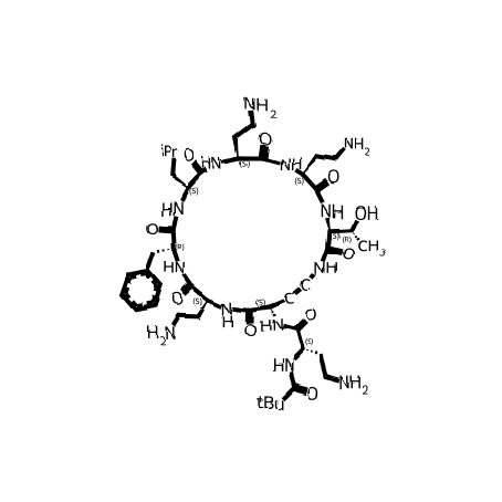 CC(C)C[C@@H]1NC(=O)[C@@H](Cc2ccccc2)NC(=O)[C@H](CCN)NC(=O)[C@@H](NC(=O)[C@H](CCN)NC(=O)C(C)(C)C)CCNC(=O)[C@H]([C@@H](C)O)NC(=O)[C@H](CCN)NC(=O)[C@H](CCN)NC1=O